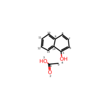 CC(=O)O.Oc1cccc2ccccc12